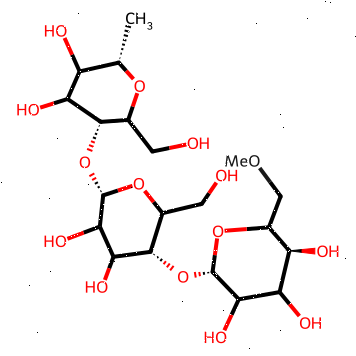 COCC1O[C@@H](O[C@H]2C(CO)O[C@@H](O[C@H]3C(CO)O[C@@H](C)C(O)C3O)C(O)C2O)C(O)C(O)[C@@H]1O